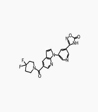 O=C(c1cnc2c(ccn2-c2cncc(-c3noc(=O)[nH]3)c2)c1)N1CCC(F)(F)CC1